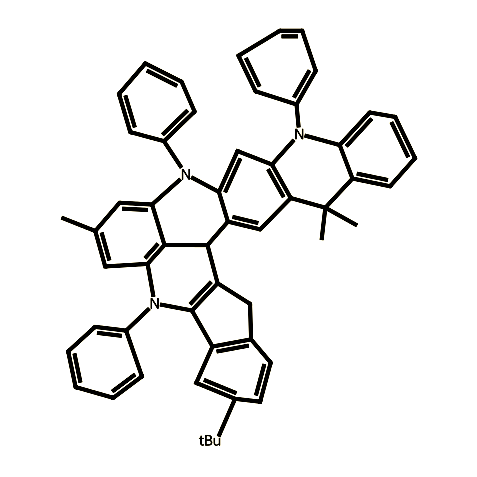 Cc1cc2c3c(c1)N(c1ccccc1)c1cc4c(cc1C3C1=C(c3cc(C(C)(C)C)ccc3C1)N2c1ccccc1)C(C)(C)c1ccccc1N4c1ccccc1